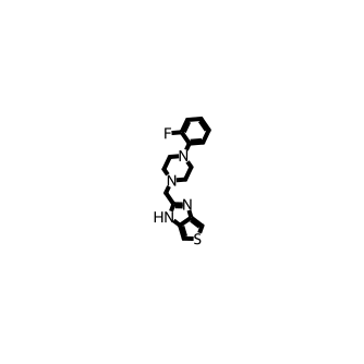 Fc1ccccc1N1CCN(Cc2nc3cscc3[nH]2)CC1